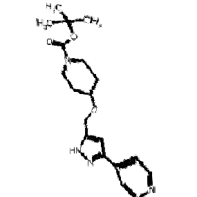 CC(C)(C)OC(=O)N1CCC(OCc2cc(-c3ccncc3)n[nH]2)CC1